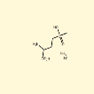 CP(=O)(O)CCC(N)C(=O)O.N.[H+]